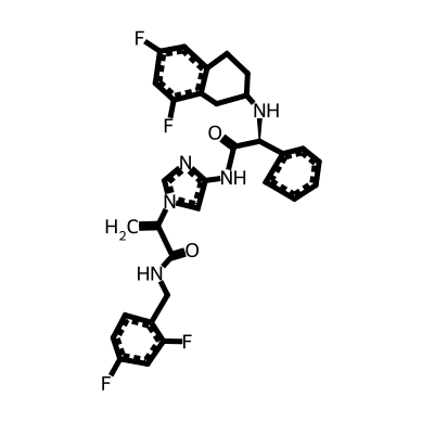 C=C(C(=O)NCc1ccc(F)cc1F)n1cnc(NC(=O)[C@@H](NC2CCc3cc(F)cc(F)c3C2)c2ccccc2)c1